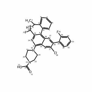 CC(C)c1ccccc1-c1c(C(F)F)nc(N2CCN(C(=O)O)CC2)c2cc(Cl)c(-c3ccccc3F)nc12